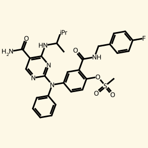 CC(C)C(C)Nc1nc(N(c2ccccc2)c2ccc(OS(C)(=O)=O)c(C(=O)NCc3ccc(F)cc3)c2)ncc1C(N)=O